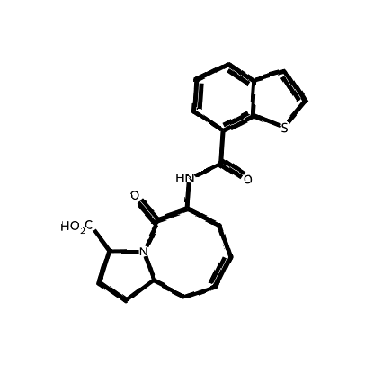 O=C(NC1CC=CCC2CCC(C(=O)O)N2C1=O)c1cccc2ccsc12